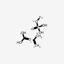 C=CC.O=C(O)O.O=P(O)(O)OF